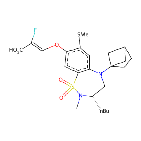 CCCC[C@H]1CN(C23CCC(C2)C3)c2cc(SC)c(O/C=C(\F)C(=O)O)cc2S(=O)(=O)N1C